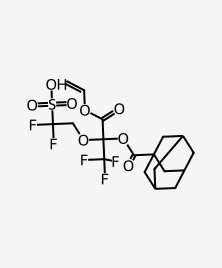 C=COC(=O)C(OCC(F)(F)S(=O)(=O)O)(OC(=O)C12CC3CC(CC(C3)C1)C2)C(F)(F)F